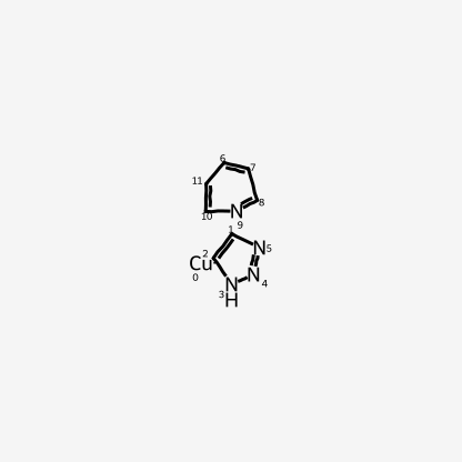 [Cu].c1c[nH]nn1.c1ccncc1